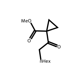 CCCCCCCC(=O)C1(C(=O)OC)CC1